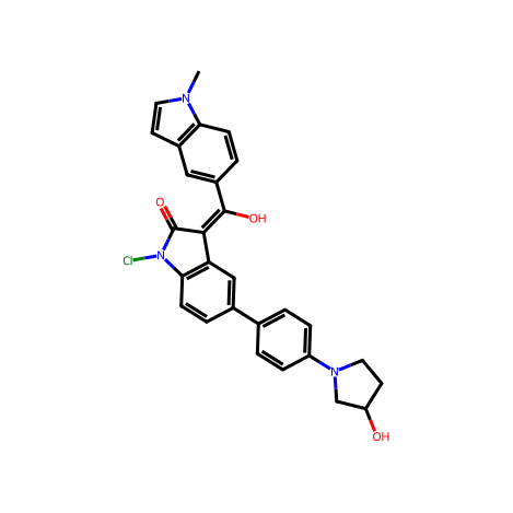 Cn1ccc2cc(C(O)=C3C(=O)N(Cl)c4ccc(-c5ccc(N6CCC(O)C6)cc5)cc43)ccc21